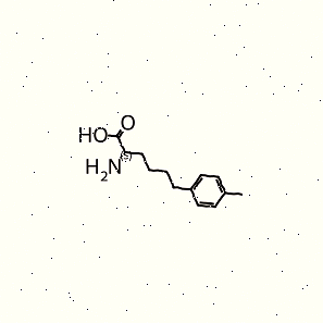 Cc1ccc(CCCC[C@H](N)C(=O)O)cc1